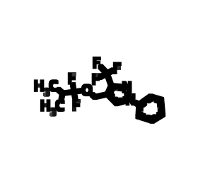 CC(C)C(F)(F)OCc1cn(-c2ccccc2)nc1C(F)(F)F